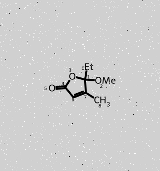 CCC1(OC)OC(=O)C=C1C